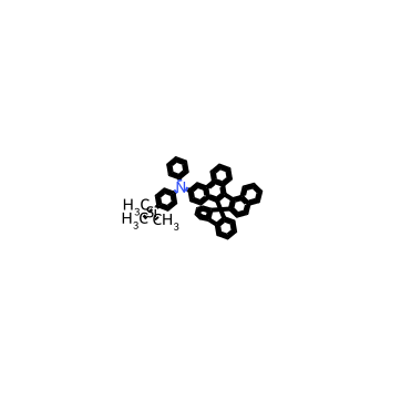 C[Si](C)(C)c1ccc(N(c2ccccc2)c2ccc3c4c(c5ccccc5c3c2)-c2c(ccc3ccccc23)C42c3ccccc3-c3ccccc32)cc1